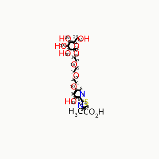 C[C@]1(C(=O)O)CSC(c2ncc(OCCOCCOCCO[C@@H]3OC(CO)[C@@H](O)C(O)C3O)cc2O)=N1